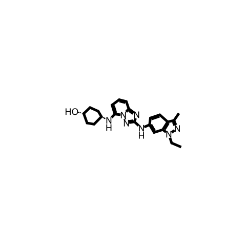 CCn1nc(C)c2ccc(Nc3nc4cccc(N[C@H]5CC[C@@H](O)CC5)n4n3)cc21